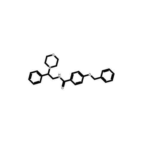 O=C(NCC(c1ccccc1)N1CCOCC1)c1ccc(OCc2ccccc2)cc1